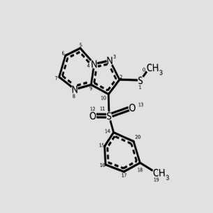 CSc1nn2cccnc2c1S(=O)(=O)c1cccc(C)c1